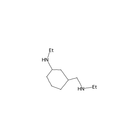 CCNCC1CCCC(NCC)C1